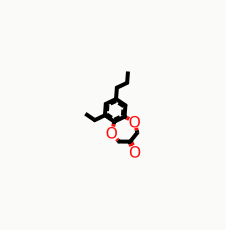 CCCc1cc(CC)c2c(c1)OCC(=O)CO2